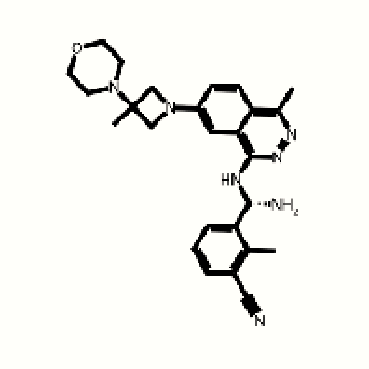 Cc1c(C#N)cccc1[C@@H](N)Nc1nnc(C)c2ccc(N3CC(C)(N4CCOCC4)C3)cc12